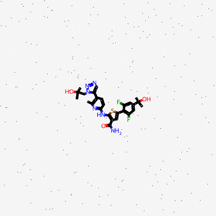 Cc1nc(Nc2sc(-c3c(F)cc(C(C)(C)O)cc3F)cc2C(N)=O)ccc1-c1cnnn1CC(C)(C)O